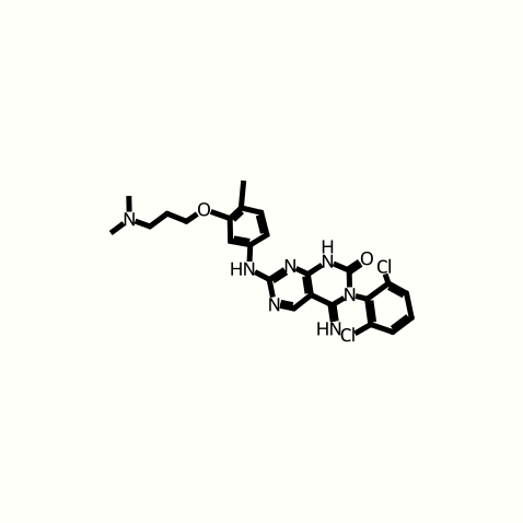 Cc1ccc(Nc2ncc3c(=N)n(-c4c(Cl)cccc4Cl)c(=O)[nH]c3n2)cc1OCCCN(C)C